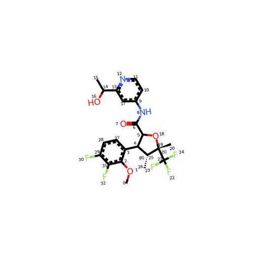 COc1c(C2C(C(=O)Nc3ccnc(C(C)O)c3)O[C@](C)(C(F)(F)F)[C@@H]2C)ccc(F)c1F